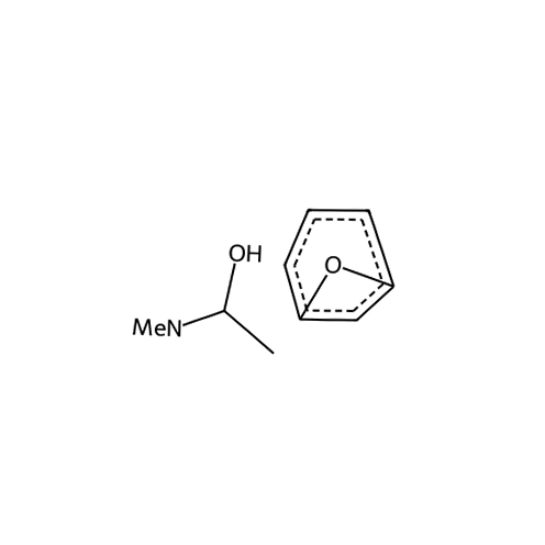 CNC(C)O.c1cc2cc(c1)O2